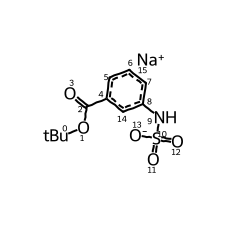 CC(C)(C)OC(=O)c1cccc(NS(=O)(=O)[O-])c1.[Na+]